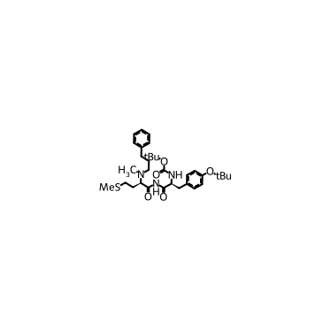 CSCC[C@H](C(=O)NC(=O)[C@H](Cc1ccc(OC(C)(C)C)cc1)NC(=O)OC(C)(C)C)N(C)CCCc1ccccc1